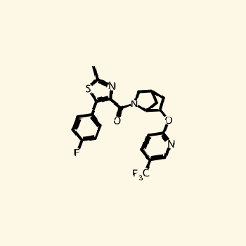 Cc1nc(C(=O)N2CC3CC(Oc4ccc(C(F)(F)F)cn4)C2C3)c(-c2ccc(F)cc2)s1